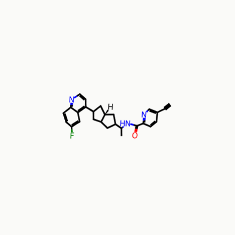 C#Cc1ccc(C(=O)NC(C)C2CC3CC(c4ccnc5ccc(F)cc45)C[C@@H]3C2)nc1